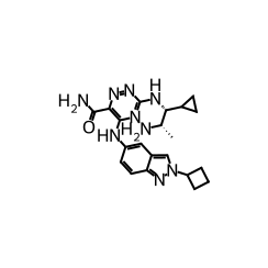 C[C@H](N)[C@H](Nc1nnc(C(N)=O)c(Nc2ccc3nn(C4CCC4)cc3c2)n1)C1CC1